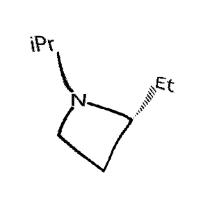 CC[C@@H]1CCN1C(C)C